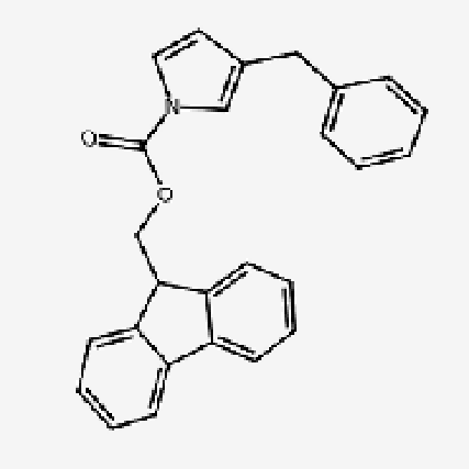 O=C(OCC1c2ccccc2-c2ccccc21)n1ccc(Cc2ccccc2)c1